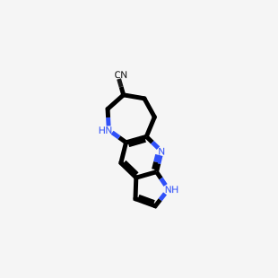 N#CC1CCc2nc3[nH]ccc3cc2NC1